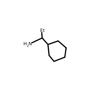 CC[C](N)C1CCCCC1